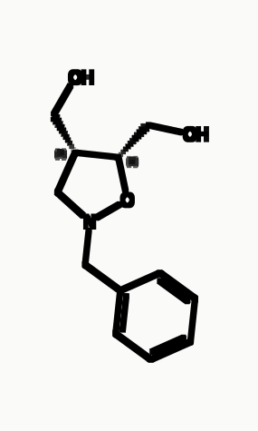 OC[C@H]1CN(Cc2ccccc2)O[C@H]1CO